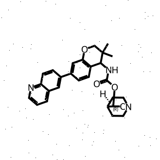 CC1(C)COc2cc(-c3ccc4ncccc4c3)ccc2C1NC(=O)O[C@H]1CN2CCC1CC2